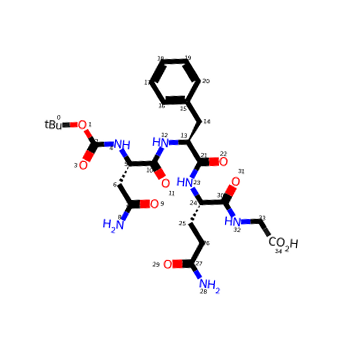 CC(C)(C)OC(=O)N[C@@H](CC(N)=O)C(=O)N[C@@H](Cc1ccccc1)C(=O)N[C@@H](CCC(N)=O)C(=O)NCC(=O)O